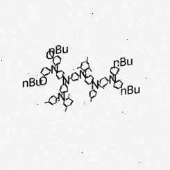 CCCCOc1cccc(N(c2ccc(N(c3ccc(N(c4ccc(C)cc4)c4cc(C)ccc4C)cc3)c3ccc(N(c4ccc(N(c5ccc(C)cc5)c5ccc(N(c6ccc(CCCC)cc6)c6ccc(CCCC)cc6)cc5)cc4)c4c(C)cc(C)cc4C)cc3)cc2)c2cccc(OCCCC)c2)c1